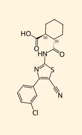 N#Cc1sc(NC(=O)[C@H]2CCCC[C@@H]2C(=O)O)nc1-c1cccc(Cl)c1